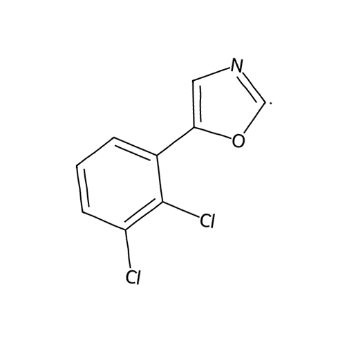 Clc1cccc(-c2cn[c]o2)c1Cl